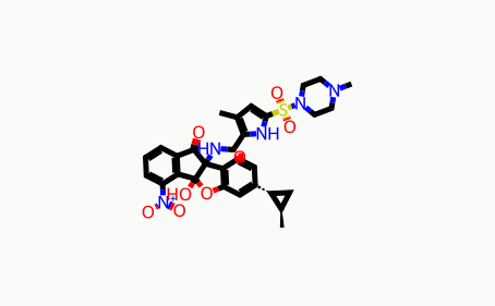 Cc1cc(S(=O)(=O)N2CCN(C)CC2)[nH]c1C(=O)NC12C(=O)c3cccc([N+](=O)[O-])c3C1(O)Oc1cc([C@@H]3C[C@H]3C)ccc12